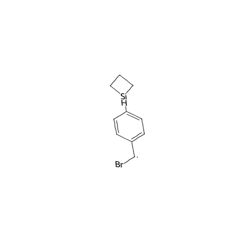 Br[CH]c1ccc([SiH]2CCC2)cc1